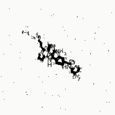 COC/C=C/C(=O)N1CCC[C@H]1C1NC(c2ccc(C(=O)Nc3cc(C)ccn3)cc2)=C2C(N)=NC=CN21